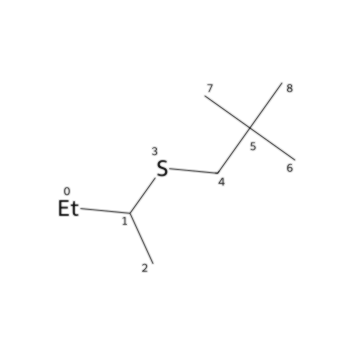 CCC(C)SCC(C)(C)C